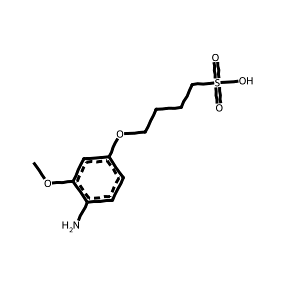 COc1cc(OCCCCS(=O)(=O)O)ccc1N